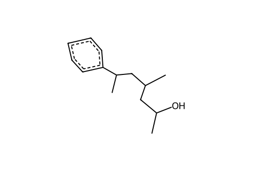 CC(O)CC(C)CC(C)c1ccccc1